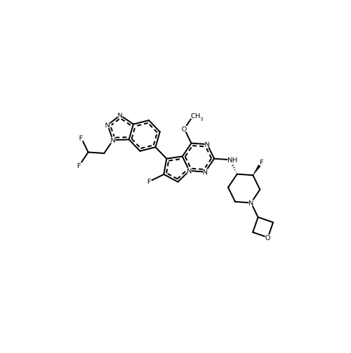 COc1nc(N[C@H]2CCN(C3COC3)C[C@@H]2F)nn2cc(F)c(-c3ccc4nnn(CC(F)F)c4c3)c12